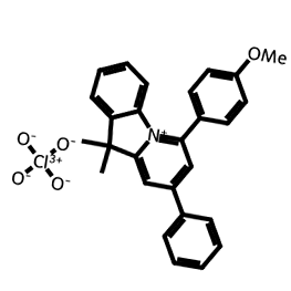 COc1ccc(-c2cc(-c3ccccc3)cc3[n+]2-c2ccccc2C3(C)C)cc1.[O-][Cl+3]([O-])([O-])[O-]